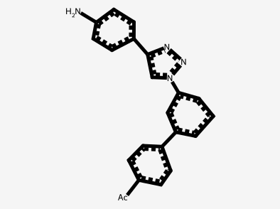 CC(=O)c1ccc(-c2cccc(-n3cc(-c4ccc(N)cc4)nn3)c2)cc1